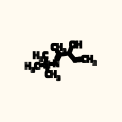 C=CC(O)C(C)=N[Si](C)(C)C